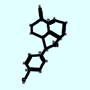 O=C1CCC2c3c(cccc31)NC2c1ccc(Cl)cc1